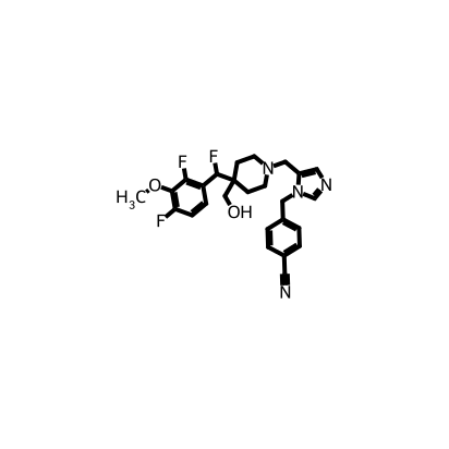 COc1c(F)ccc(C(F)C2(CO)CCN(Cc3cncn3Cc3ccc(C#N)cc3)CC2)c1F